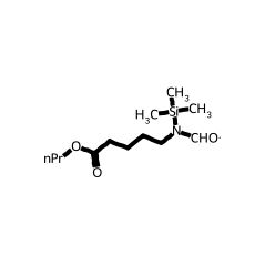 CCCOC(=O)CCCCN([C]=O)[Si](C)(C)C